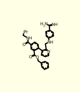 CC(C)CNC(=O)c1ccc(-c2cccnc2CNc2ccc(C(=N)N)cc2)c(C(=O)OCc2ccccc2)c1